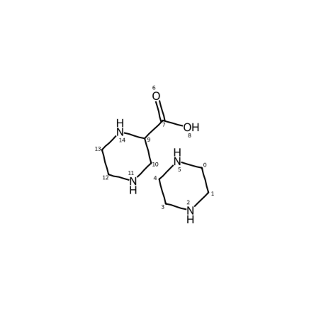 C1CNCCN1.O=C(O)C1CNCCN1